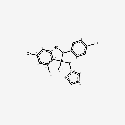 OC(c1ccc(F)cc1)C(O)(Cn1cncn1)c1ccc(Cl)cc1Cl